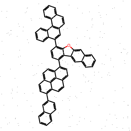 c1ccc2cc(-c3ccc4ccc5c(-c6ccc(-c7cc8ccc9ccccc9c8c8ccccc78)c7oc8cc9ccccc9cc8c67)ccc6ccc3c4c65)ccc2c1